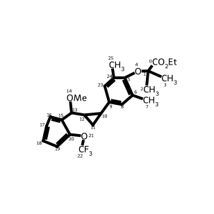 CCOC(=O)C(C)(C)Oc1c(C)cc(C2CC2C(OC)c2ccccc2OC(F)(F)F)cc1C